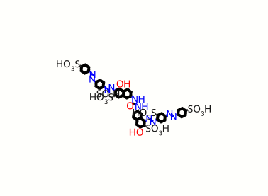 O=C(Nc1ccc2c(O)c(N=Nc3ccc(N=Nc4ccc(S(=O)(=O)O)cc4)cc3S(=O)(=O)O)c(S(=O)(=O)O)cc2c1)Nc1ccc2cc(O)c(S(=O)(=O)O)c(N=Nc3ccc(N=Nc4ccc(S(=O)(=O)O)cc4)cc3S(=O)(=O)O)c2c1